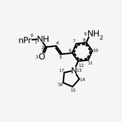 CCCNC(=O)C=Cc1cc(N)ccc1N1CCCC1